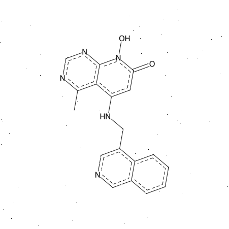 Cc1ncnc2c1c(NCc1cncc3ccccc13)cc(=O)n2O